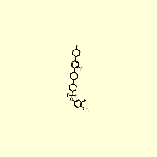 CC1CCC(c2ccc(C3CCC(C4CCC(C(F)(F)Oc5ccc(C(F)(F)F)c(F)c5)CC4)CC3)c(F)c2)CC1